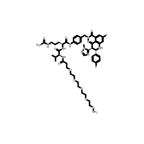 CC(C)[C@H](NC(=O)CCOCCOCCOCCOCCON)C(=O)N[C@@H](CCCNC(N)=O)C(=O)Nc1ccc(Cn2nc3c4c(cc(F)cc4c2=O)N[C@H](c2ccc(F)cc2)[C@H]3c2ncnn2C)cc1